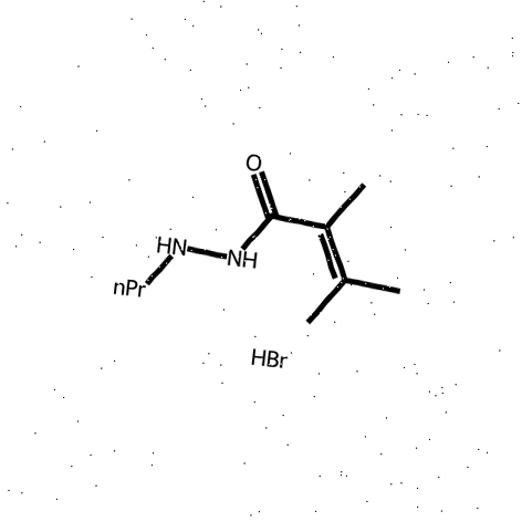 Br.CCCNNC(=O)C(C)=C(C)C